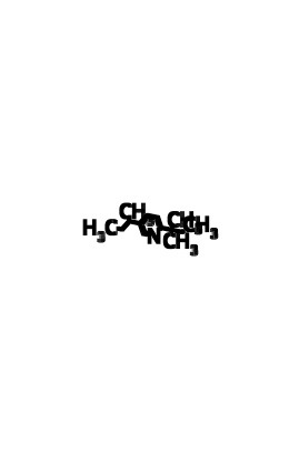 CCC(C)c1ccc(C(C)(C)CC)nc1